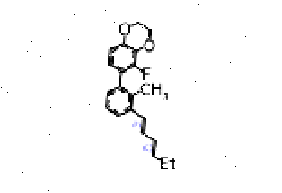 CC/C=C/C=C/c1cccc(-c2ccc3c(c2F)OCCO3)c1C